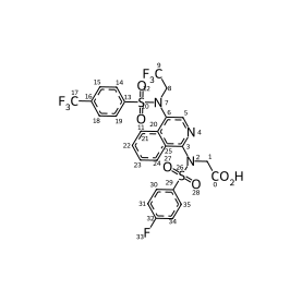 O=C(O)CN(c1ncc(N(CC(F)(F)F)S(=O)(=O)c2ccc(C(F)(F)F)cc2)c2ccccc12)S(=O)(=O)c1ccc(F)cc1